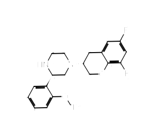 CC(C)Oc1ccccc1[C@@H]1CN([C@H]2COc3c(F)cc(F)cc3C2)CCN1